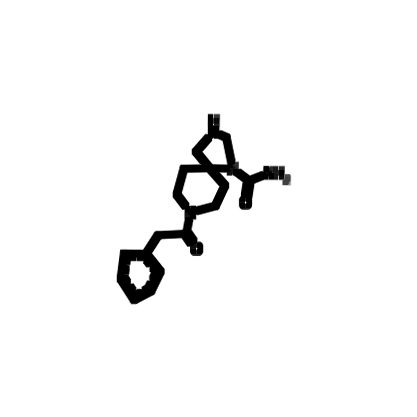 NC(=O)N1CNCC12CCN(C(=O)Cc1ccccc1)CC2